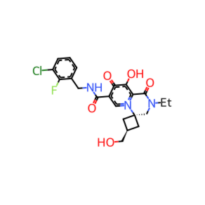 CCN1C[C@]2(C[C@H](CO)C2)n2cc(C(=O)NCc3cccc(Cl)c3F)c(=O)c(O)c2C1=O